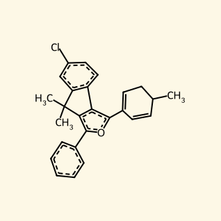 CC1C=CC(c2oc(-c3ccccc3)c3c2-c2ccc(Cl)cc2C3(C)C)=CC1